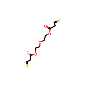 O=C(CC=S)OCCOCCOC(=O)CC=S